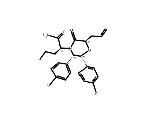 C=CC[C@H]1O[C@H](c2ccc(Cl)cc2)[C@H](c2ccc(Cl)cc2)N([C@@H](CCC)C(N)=O)C1=O